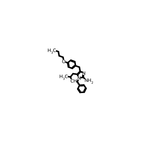 CCCCOc1ccc(Cc2nc(N)n(Cc3ccccc3)c2CC(C)C)cc1